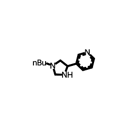 C[CH]CCN1CNC(c2cccnc2)C1